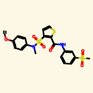 CCOc1ccc(N(C)S(=O)(=O)c2ccsc2C(=O)Nc2cccc(S(C)(=O)=O)c2)cc1